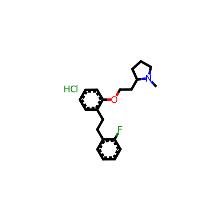 CN1CCCC1CCOc1ccccc1CCc1ccccc1F.Cl